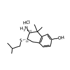 CC(C)CS[C@H]1Cc2ccc(O)cc2C(C)(C)[C@@H]1N.Cl